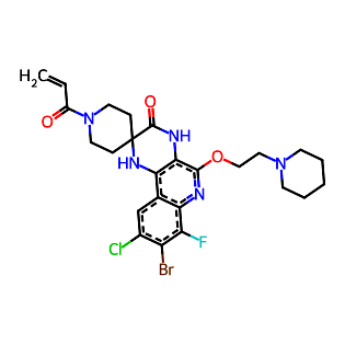 C=CC(=O)N1CCC2(CC1)Nc1c(c(OCCN3CCCCC3)nc3c(F)c(Br)c(Cl)cc13)NC2=O